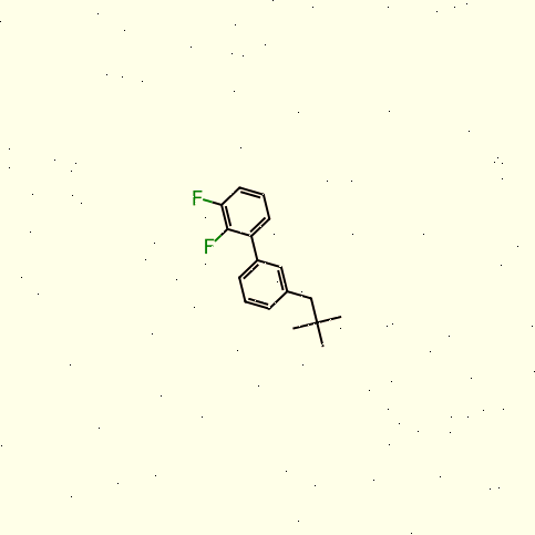 CC(C)(C)Cc1cccc(-c2cccc(F)c2F)c1